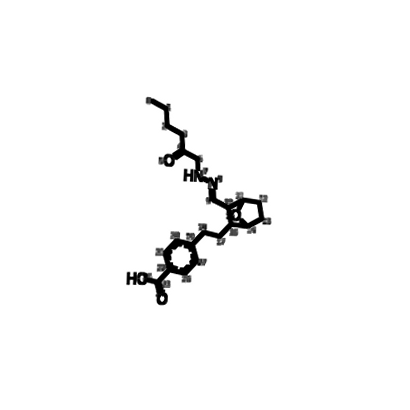 CCCCC(=O)CN/N=C/C1C2CCC(O2)C1CCc1ccc(C(=O)O)cc1